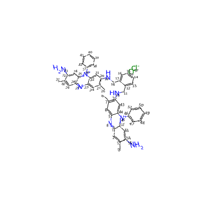 Cc1cc2nc3cc(C)c(NCc4ccccc4CNc4cc5c(cc4C)nc4cc(C)c(N)cc4[n+]5-c4ccccc4)cc3[n+](-c3ccccc3)c2cc1N.[Cl-].[Cl-]